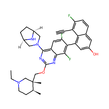 C#Cc1c(F)ccc2cc(O)cc(-c3c(F)cc4c(N5C[C@H]6CC[C@@H](C5)N6)nc(OC[C@@]5(C)CN(CC)CC[C@@H]5C)nc4c3F)c12